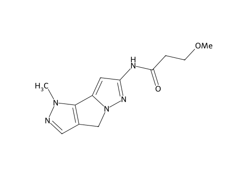 COCCC(=O)Nc1cc2n(n1)Cc1cnn(C)c1-2